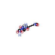 Cn1c(=O)n(C2CCC(=O)NC2=O)c2cccc(NC(=O)CCCCCCCN3CCOCC3)c21